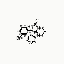 S=C1NC(c2ccncc2)(c2cccc(Br)c2)C2=NCCCN12